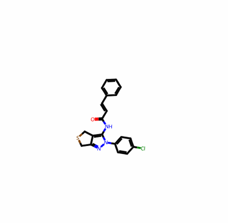 O=C(C=Cc1ccccc1)Nc1c2c(nn1-c1ccc(Cl)cc1)CSC2